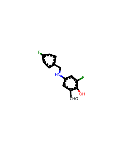 O=Cc1cc(NCc2ccc(F)cc2)cc(F)c1O